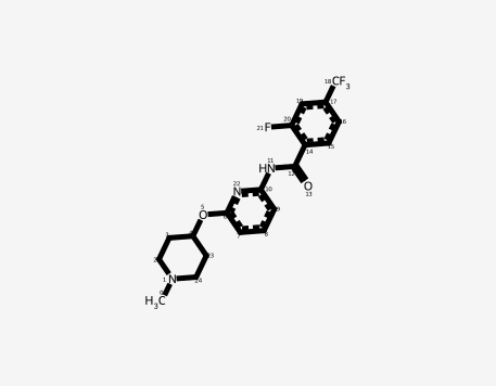 CN1CCC(Oc2cccc(NC(=O)c3ccc(C(F)(F)F)cc3F)n2)CC1